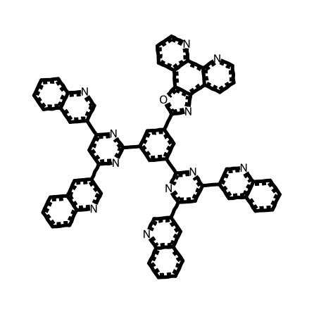 c1ccc2ncc(-c3cc(-c4cnc5ccccc5c4)nc(-c4cc(-c5nc(-c6cnc7ccccc7c6)cc(-c6cnc7ccccc7c6)n5)cc(-c5nc6c7cccnc7c7ncccc7c6o5)c4)n3)cc2c1